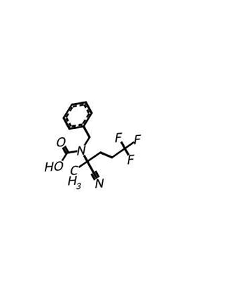 CC(C#N)(CCC(F)(F)F)N(Cc1ccccc1)C(=O)O